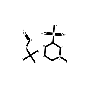 CC(C)(C)OC=O.CN1CCCC(S(C)(=O)=O)C1